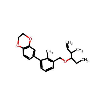 C=CC(C)C(CC)OCc1cccc(-c2ccc3c(c2)OCCO3)c1C